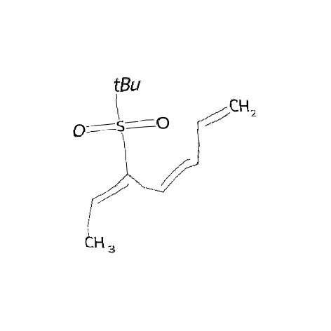 C=C/C=C\C(=C/C)S(=O)(=O)C(C)(C)C